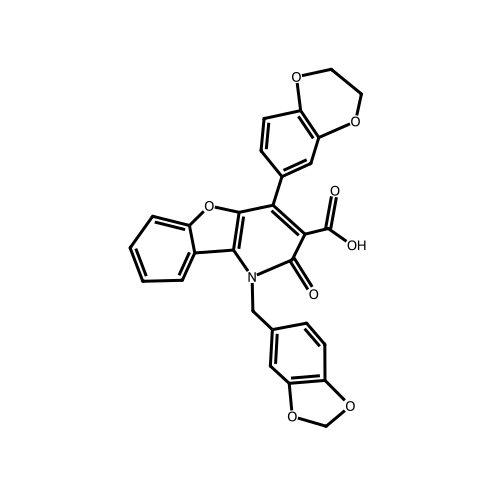 O=C(O)c1c(-c2ccc3c(c2)OCCO3)c2oc3ccccc3c2n(Cc2ccc3c(c2)OCO3)c1=O